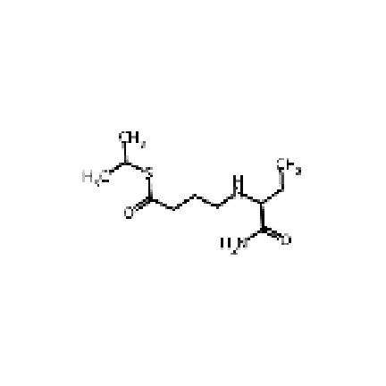 CCC(NCCCC(=O)SC(C)C)C(N)=O